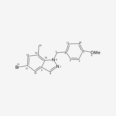 COc1ccc(Cn2ncc3cc(Br)cc(C)c32)cc1